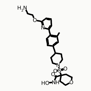 Cc1cc(C2CCN(S(=O)(=O)C3(C(=O)NO)CCOCC3)CC2)ccc1-c1cccc(OCCN)n1